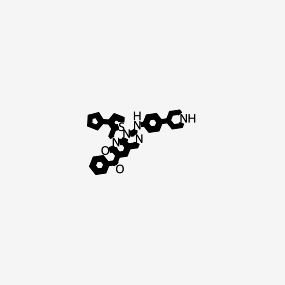 O=C(c1ccccc1)c1cc2cnc(Nc3ccc(C4CCNCC4)cc3)nc2n(Cc2sccc2C2=CCCC2)c1=O